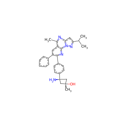 Cc1nc2cc(C(C)C)nn2c2nc(-c3ccc([C@]4(N)C[C@](C)(O)C4)cc3)c(-c3ccccc3)cc12